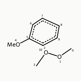 COOC.COc1ccccc1